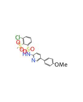 COc1ccc(-c2ccc(NS(=O)(=O)c3cccc(Cl)c3S(C)(=O)=O)nc2)cc1